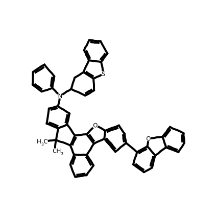 CC1(C)c2ccc(N(c3ccccc3)C3C=Cc4sc5ccccc5c4C3)cc2-c2c1c1ccccc1c1c2oc2ccc(-c3cccc4c3oc3ccccc34)cc21